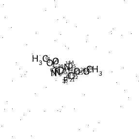 CCOC(=O)c1cnn2ccc(N3CCC[C@@H]3c3cc(F)ccc3OCCOC)cc12